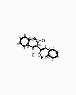 O=CC(=Cc1ccccc1Br)C(C=O)=Cc1ccccc1Br